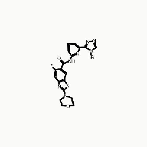 CC(C)n1cnnc1-c1cccc(NC(=O)c2cc3sc(N4CCOCC4)nc3cc2F)n1